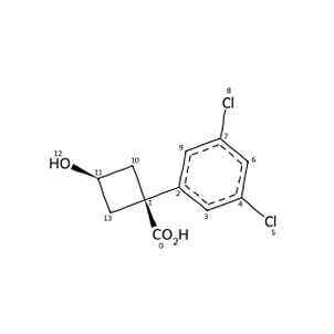 O=C(O)[C@]1(c2cc(Cl)cc(Cl)c2)C[C@H](O)C1